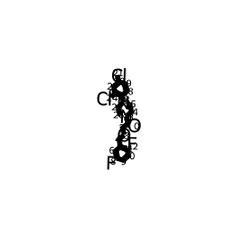 O=C(COCc1cc(F)ccc1F)N1CCN(c2ccc(Cl)cc2Cl)CC1